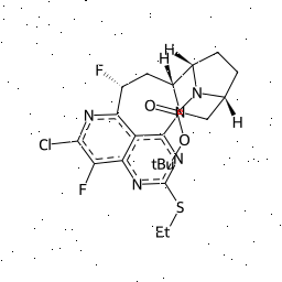 CCSc1nc2c3c(nc(Cl)c(F)c3n1)[C@H](F)C[C@@H]1[C@@H]3CC[C@H](CN21)N3C(=O)OC(C)(C)C